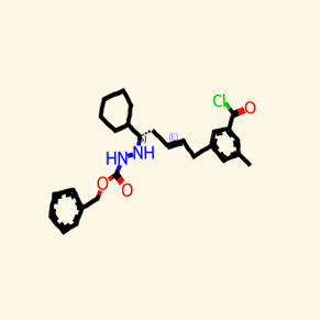 Cc1cc(C/C=C/C[C@H](NNC(=O)OCc2ccccc2)C2CCCCC2)cc(C(=O)Cl)c1